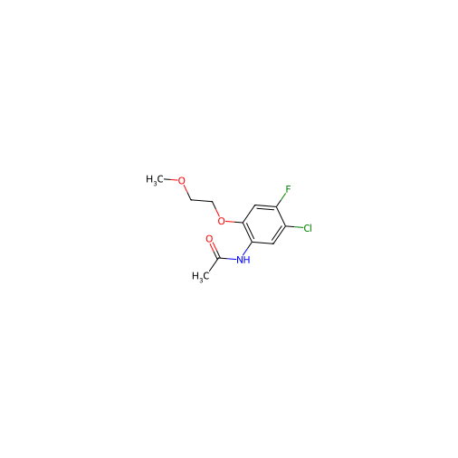 COCCOc1cc(F)c(Cl)cc1NC(C)=O